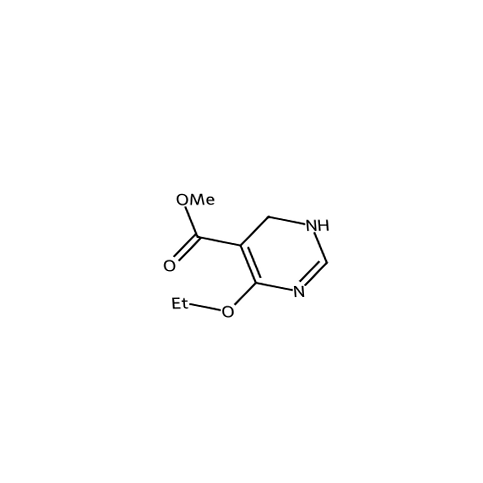 CCOC1=C(C(=O)OC)CNC=N1